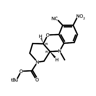 CN1c2ccc([N+](=O)[O-])c(C#N)c2O[C@@H]2CCN(C(=O)OC(C)(C)C)C[C@H]21